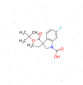 CCC1(C(=O)OC(C)(C)C)CN(C(=O)O)c2cc(F)ccc21